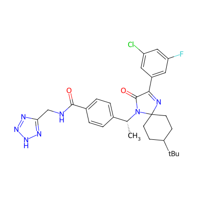 C[C@H](c1ccc(C(=O)NCc2nn[nH]n2)cc1)N1C(=O)C(c2cc(F)cc(Cl)c2)=NC12CCC(C(C)(C)C)CC2